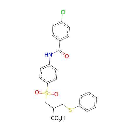 O=C(Nc1ccc(S(=O)(=O)CC(CSc2ccccc2)C(=O)O)cc1)c1ccc(Cl)cc1